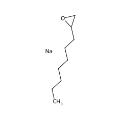 CCCCCCCC1CO1.[Na]